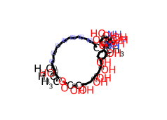 C[C@@H]1[C@H](O)[C@@H](C)/C=C/C=C/C=C/C=C/C=C/C=C/C=C/C(O[C@@H]2O[C@H](C)[C@@H](O)[C@H](N)[C@H]2O)CC2C[C@](O)(C[C@@H](O)C[C@@H](O)[C@H](O)CC[C@@H](O)C[C@@H](O)CC(=O)O[C@H]1C)C[C@H](O)[C@H]2C(=O)NC(CO)(CO)CO